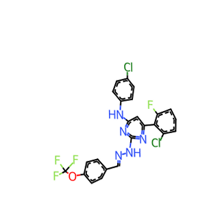 Fc1cccc(Cl)c1-c1cc(Nc2ccc(Cl)cc2)nc(NN=Cc2ccc(OC(F)(F)F)cc2)n1